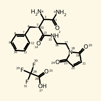 NC(=O)C(N)[C@H](Cc1ccccc1)C(=O)NCCN1C(=O)C=CC1=O.O=C(O)C(F)(F)F